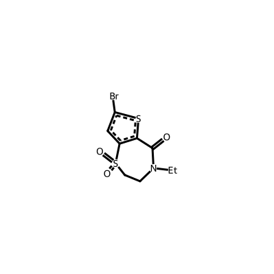 CCN1CCS(=O)(=O)c2cc(Br)sc2C1=O